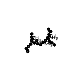 CC1(C)c2cc(-c3ccccc3)ccc2-c2ccc(N(c3ccc(-c4ccc(-c5cccc6c5sc5ccccc56)cc4)cc3)c3ccc(-c4ccc(-c5cccc(-c6ccc7c(c6)C(C)(C)c6cc(N(c8ccc(-c9ccc(-c%10ccccc%10)cc9)cc8)c8ccc9c(c8)C(C)(C)c8cc(-c%10cccc%11c%10sc%10ccccc%10%11)ccc8-9)ccc6-7)c5)cc4-c4ccccc4)cc3)cc21